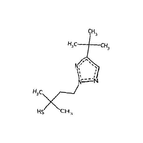 CC(C)(S)CCn1ncc(C(C)(C)C)n1